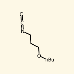 CCCCOCCCN=C=O